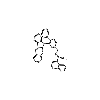 N/C(=N\Cc1ccc(-c2ccccc2)c(-n2c3ccccc3c3cc4ccccc4cc32)c1)c1cccc2ccccc12